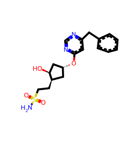 NS(=O)(=O)CC[C@@H]1C[C@@H](Oc2cc(Cc3ccccc3)ncn2)C[C@@H]1O